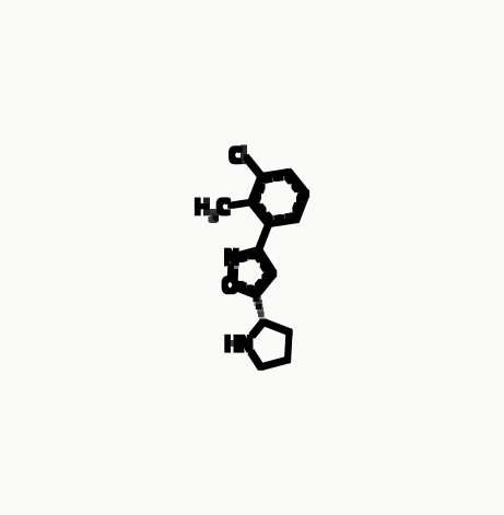 Cc1c(Cl)cccc1-c1cc([C@@H]2CCCN2)on1